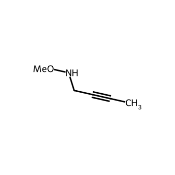 CC#CCNOC